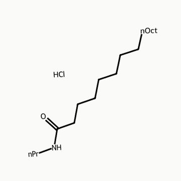 CCCCCCCCCCCCCCCC(=O)NCCC.Cl